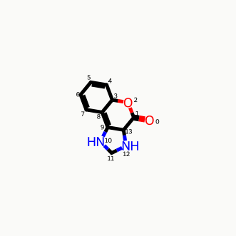 O=C1OC2C=CC=CC2=C2NCNC12